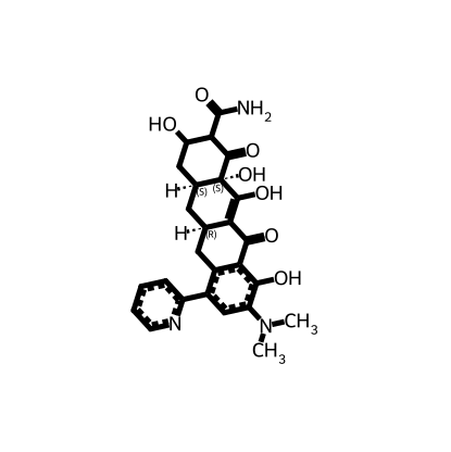 CN(C)c1cc(-c2ccccn2)c2c(c1O)C(=O)C1=C(O)[C@]3(O)C(=O)C(C(N)=O)C(O)C[C@@H]3C[C@@H]1C2